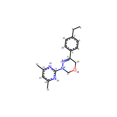 CCc1ccc(C2=NN(c3nc(C)cc(C)n3)COC2)cc1